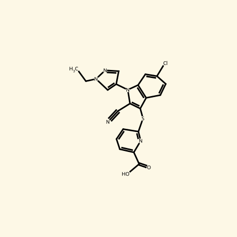 CCn1cc(-n2c(C#N)c(Sc3cccc(C(=O)O)n3)c3ccc(Cl)cc32)cn1